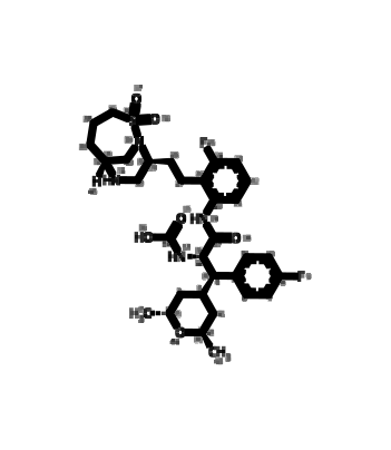 C[C@@H]1CC([C@H](c2ccc(F)cc2)[C@H](NC(=O)O)C(=O)Nc2cccc(F)c2CC[C@H]2CN[C@@H]3CCCS(=O)(=O)N2C3)C[C@@H](C)O1